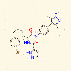 Cc1n[nH]c(C)c1-c1ccc(NC(=O)[C@@H](NC(=O)c2ccnn2C)[C@H]2CCCc3ccc(Br)cc32)cc1